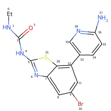 CCNC(=O)Nc1nc2cc(Br)cc(-c3ccc(N)nc3)c2s1